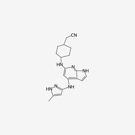 Cc1cc(Nc2cc(NC3CCC(CC#N)CC3)nc3[nH]ccc23)n[nH]1